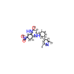 Cc1cc(-c2cccc(C3CC(=O)Nc4cc([N+](=O)[O-])ccc4N3)c2)cc(C)n1